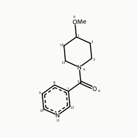 COC1CCN(C(=O)c2cc[c]nc2)CC1